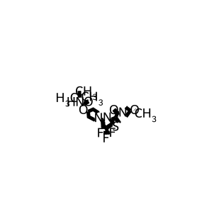 COC1CN(C(=O)c2csc3c(C(F)(F)F)cc(N4CCC(OC(=O)NC(C)(C)C)CC4)nc23)C1